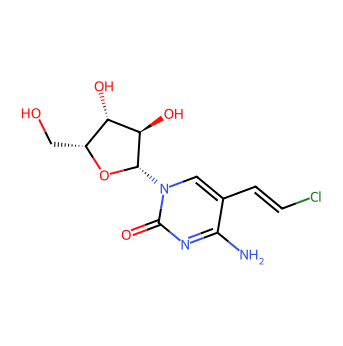 Nc1nc(=O)n([C@@H]2O[C@H](CO)[C@H](O)[C@H]2O)cc1/C=C/Cl